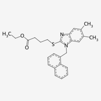 CCOC(=O)CCCSc1nc2cc(C)c(C)cc2n1Cc1cccc2ccccc12